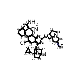 N#Cc1c(N)sc2cccc(-c3c(Cl)cc4c(N5C[C@@H]6CC[C@](C7CC7)(C5)N6)nc(OC[C@@]56CCCN5C/C(=C\F)C6)nc4c3F)c12